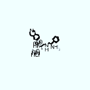 C[C@H](CNC[C@H](N)c1ccccc1)NS(=O)(=O)c1ccc2cnccc2c1.Cl.Cl.Cl